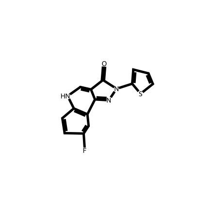 O=c1c2c[nH]c3ccc(F)cc3c-2nn1-c1cccs1